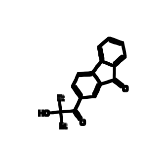 CCC(O)(CC)C(=O)c1ccc2c(c1)C(=O)c1ccccc1-2